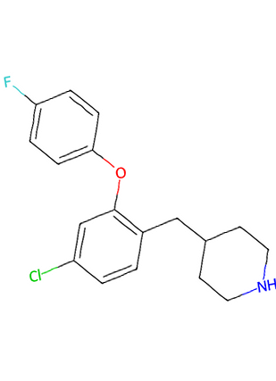 Fc1ccc(Oc2cc(Cl)ccc2CC2CCNCC2)cc1